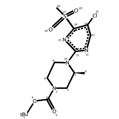 C[C@H]1CN(C(=O)OC(C)(C)C)CCN1c1ncc(Cl)c(S(C)(=O)=O)n1